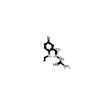 CCOc1ccc(Br)cc1/C=N/NC(=N)N.Cl